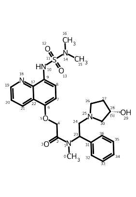 CN(C(=O)COc1ccc(NS(=O)(=O)N(C)C)c2ncccc12)C(CN1CC[C@H](O)C1)c1ccccc1